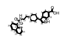 O=C(O)c1ccc2c(C3CCN(CCNS(=O)(=O)c4cccc5cccnc45)CC3)c[nH]c2c1